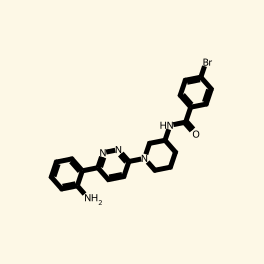 Nc1ccccc1-c1ccc(N2CCCC(NC(=O)c3ccc(Br)cc3)C2)nn1